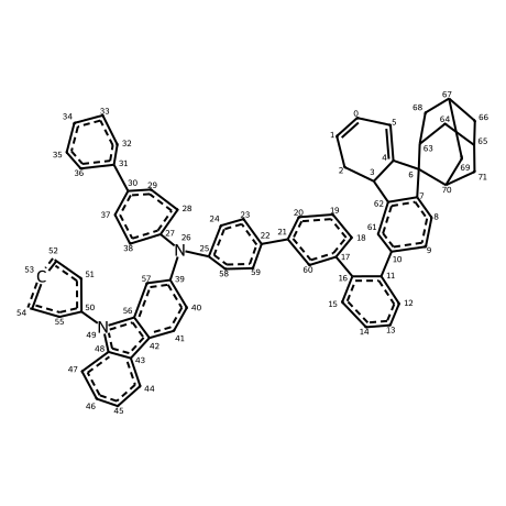 C1=CCC2C(=C1)C1(c3ccc(-c4ccccc4-c4cccc(-c5ccc(N(c6ccc(-c7ccccc7)cc6)c6ccc7c8ccccc8n(-c8ccccc8)c7c6)cc5)c4)cc32)C2CC3CC(C2)CC1C3